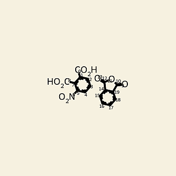 O=C(O)c1cccc([N+](=O)[O-])c1C(=O)O.O=C1OC(=O)c2ccccc21